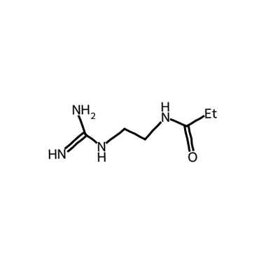 CCC(=O)NCCNC(=N)N